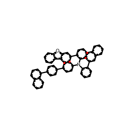 c1ccc(N(c2ccc(-c3ccc(-c4cccc5ccccc45)cc3)cc2)c2ccccc2-c2ccc3c(c2)oc2ccccc23)c(-c2ccc3ccccc3c2)c1